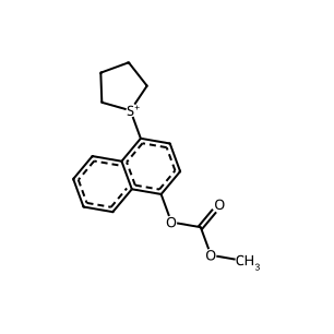 COC(=O)Oc1ccc([S+]2CCCC2)c2ccccc12